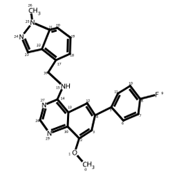 COc1cc(-c2ccc(F)cc2)cc2c(NCc3cccc4c3cnn4C)ncnc12